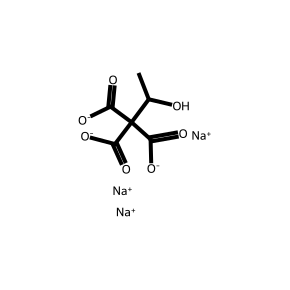 CC(O)C(C(=O)[O-])(C(=O)[O-])C(=O)[O-].[Na+].[Na+].[Na+]